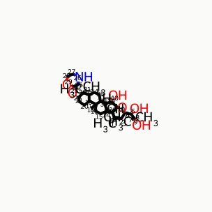 C[C@@H]1CC([C@H](O)C(C)(C)O)OC2C1[C@@]1(C)CCC34C[C@@]35CC[C@H](OC3CNCCO3)C(C)(C)C5CC[C@H]4C1(C)[C@H]2O